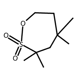 CC1(C)CCOS(=O)(=O)C(C)(C)C1